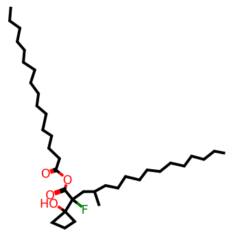 CCCCCCCCCCCCCCCC(=O)OC(=O)C(F)(CC(C)CCCCCCCCCCCC)C1(O)CCC1